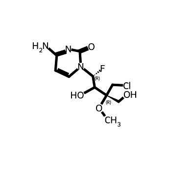 CO[C@@](CO)(CCl)C(O)[C@@H](F)n1ccc(N)nc1=O